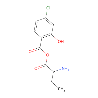 CCC(N)C(=O)OC(=O)c1ccc(Cl)cc1O